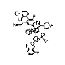 CN1CCC(c2nc3c(F)c(-c4cccc(Cl)c4Cl)c(CCC#N)cc3c3c2cc(C2CC(OCc4c(F)cccc4F)CN2C(=O)C2CC2)n3C2C3CNC2C3)CC1